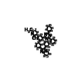 Cc1ccc(-c2cc(-c3cccc(-c4nc5ccccn5c4-c4ccccc4)c3)cc(-c3nc(-c4ccccc4)nc(-c4ccccc4)n3)c2)c(C)n1